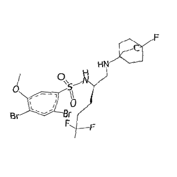 COc1cc(S(=O)(=O)N[C@H](CCC(C)(F)F)CNC23CCC(F)(CC2)CC3)c(Br)cc1Br